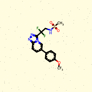 CS(=O)(=O)NCC(F)(F)c1nnc2ccc(-c3ccc(OC(F)(F)F)cc3)cn12